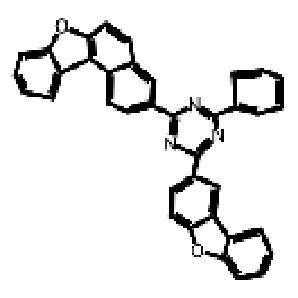 c1ccc(-c2nc(-c3ccc4c(ccc5oc6ccccc6c54)c3)nc(-c3ccc4oc5ccccc5c4c3)n2)cc1